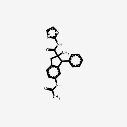 CC(=O)Nc1ccc2c(c1)C(c1ccccc1)C(C)(C(=O)Nc1nccs1)C2